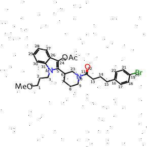 COCCCn1c(C2CCCN(C(=O)CCCc3ccc(Br)cc3)C2)c(OC(C)=O)c2ccccc21